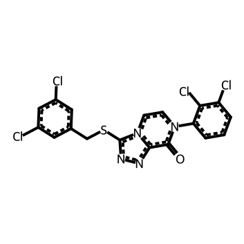 O=c1c2nnc(SCc3cc(Cl)cc(Cl)c3)n2ccn1-c1cccc(Cl)c1Cl